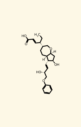 CCC(/C=C/C(=O)O)[C@H]1CC[C@@H]2[C@@H](/C=C/[C@@H](O)COc3ccccc3)[C@H](O)C[C@@H]2OC1